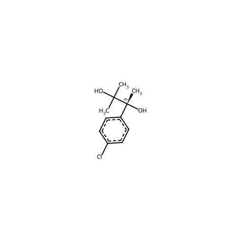 CC(C)(O)[C@](C)(O)c1ccc(Cl)cc1